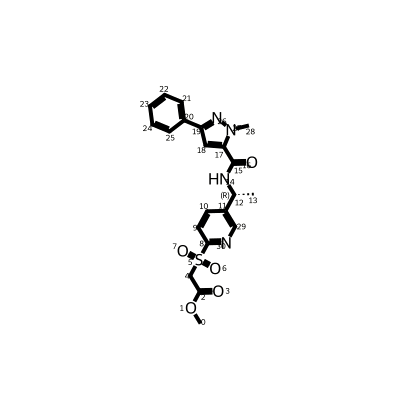 COC(=O)CS(=O)(=O)c1ccc([C@@H](C)NC(=O)c2cc(-c3ccccc3)nn2C)cn1